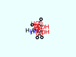 CC(=O)N[C@@H]1[C@H](O[C@H]2O[C@H](CO)[C@H](OCc3ccccc3)[C@H](O)[C@H]2OCc2ccccc2)O[C@H](CO)[C@@H](OCc2ccccc2)[C@@H]1OCc1ccccc1